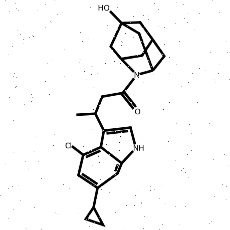 CC(CC(=O)N1C2CC3CC1CC(O)(C3)C2)c1c[nH]c2cc(C3CC3)cc(Cl)c12